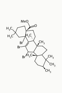 COC(=O)[C@]12CCC(C)(C)CC1(Br)C1=C(Br)C(Br)C3[C@@]4(C)CC[C@H](C)C(C)(C)C4CC[C@@]3(C)[C@]1(C)CC2